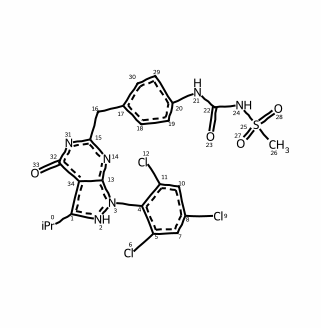 CC(C)c1[nH]n(-c2c(Cl)cc(Cl)cc2Cl)c2nc(Cc3ccc(NC(=O)NS(C)(=O)=O)cc3)nc(=O)c1-2